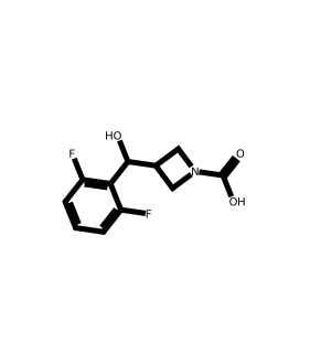 O=C(O)N1CC(C(O)c2c(F)cccc2F)C1